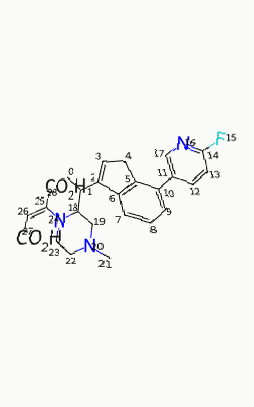 CC(C1=CCc2c1cccc2-c1ccc(F)nc1)C1CN(C)CCN1/C(=C\C(=O)O)C(=O)O